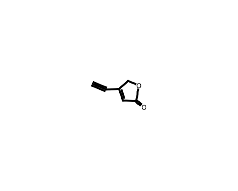 C#CC1=CC(=O)OC1